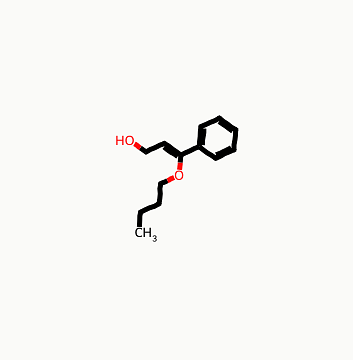 CCCCOC(=CCO)c1ccccc1